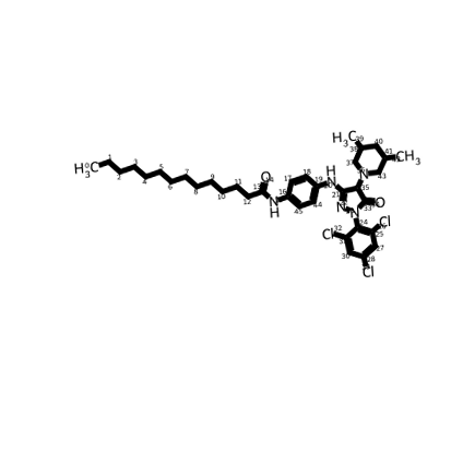 CCCCCCCCCCCCCC(=O)Nc1ccc(NC2=NN(c3c(Cl)cc(Cl)cc3Cl)C(=O)C2N2CC(C)CC(C)C2)cc1